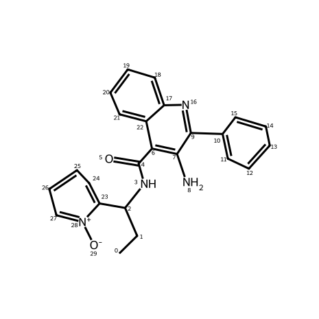 CCC(NC(=O)c1c(N)c(-c2ccccc2)nc2ccccc12)c1cccc[n+]1[O-]